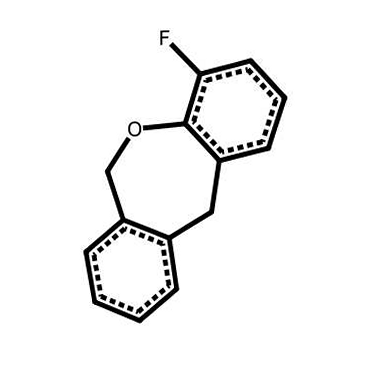 Fc1cccc2c1OCc1ccccc1C2